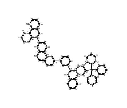 c1ccc(C2(c3ccccc3)c3ccccc3-c3cc4c(-c5cccc(-c6ccc7ccc8cc(-c9cc%10cccnc%10c%10ncccc9%10)ccc8c7c6)c5)nc5ccccc5c4cc32)cc1